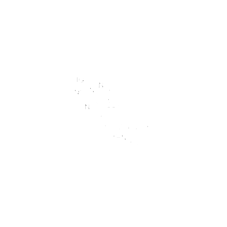 O=S(=O)(Nc1ccccc1)c1ccc(-c2cnn3c(O)ncnc23)cc1